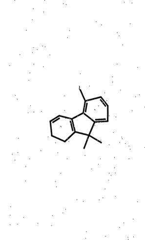 CC1(C)C2=C(C=CCC2)c2c(I)cccc21